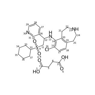 O=C(O)CCC(=O)O.O=S(=O)(CC(Nc1c(Cl)ccc2c1CCNCC2)c1cccnc1)C1CCCCC1